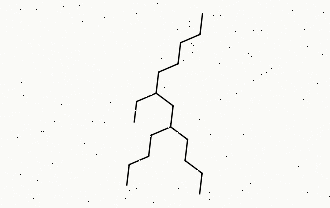 CCCCCC(CC)CC(CCCC)CCCC